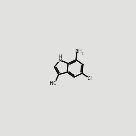 Bc1cc(Cl)cc2c(C#N)c[nH]c12